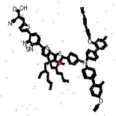 C#CC#CC#COc1cc(C)ccc1-c1ccc(N(c2ccc(-c3cc4c(s3)-c3sc(-c5ccc(-c6ccc(/C=C(\C#N)C(=O)O)s6)c6nsnc56)cc3C4(CC(CC)CCCC)CC(CC)CCCC)cc2)c2ccc(-c3ccc(OC#C)cc3C)cc2)cc1